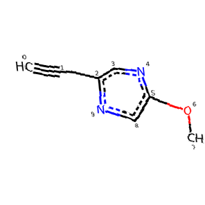 C#Cc1cnc(OC)cn1